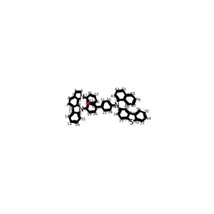 c1ccc(-n2ccc3ccc4c5ccccc5n(-c5ccc(-c6ccc(N(c7ccc8sc9ccccc9c8c7)c7cccc8ccccc78)cc6)cc5)c4c32)cc1